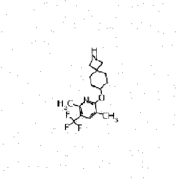 Cc1cc(C(F)(F)F)c(C)nc1OC1CCC2(CC1)CNC2